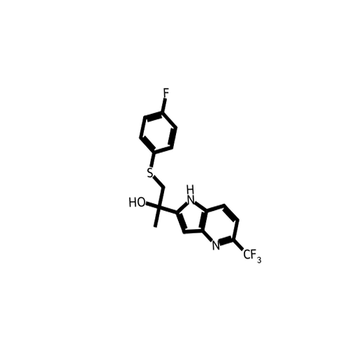 CC(O)(CSc1ccc(F)cc1)c1cc2nc(C(F)(F)F)ccc2[nH]1